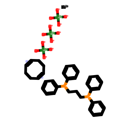 C1=C\CC/C=C\CC/1.[O-][Cl+3]([O-])([O-])[O-].[O-][Cl+3]([O-])([O-])[O-].[O-][Cl+3]([O-])([O-])[O-].[Rh+3].c1ccc(P(CCCP(c2ccccc2)c2ccccc2)c2ccccc2)cc1